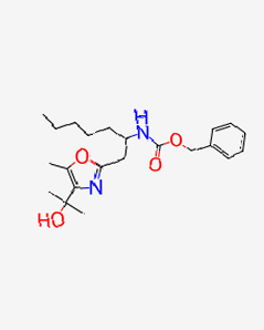 CCCCCC(Cc1nc(C(C)(C)O)c(C)o1)NC(=O)OCc1ccccc1